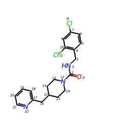 O=C(NCc1ccc(Cl)cc1Cl)N1CCC(Cc2ccccn2)CC1